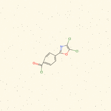 O=C(Cl)c1ccc(-c2nc(Cl)c(Cl)o2)cc1